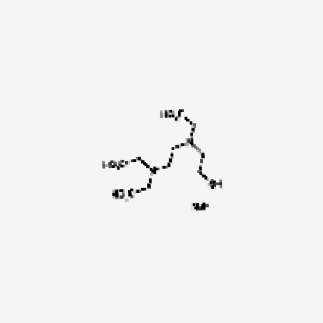 O=C(O)CN(CCO)CCN(CC(=O)O)CC(=O)O.[NaH]